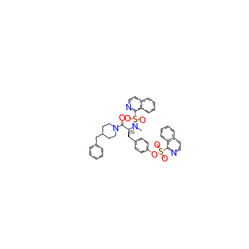 CN([C@@H](Cc1ccc(OS(=O)(=O)c2nccc3ccccc23)cc1)C(=O)N1CCC(Cc2ccccc2)CC1)S(=O)(=O)c1nccc2ccccc12